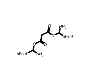 CCCCCC(N)OC(=O)CC(=O)OC(N)CCCCC